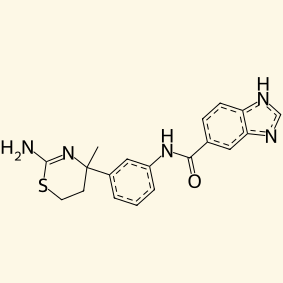 CC1(c2cccc(NC(=O)c3ccc4[nH]cnc4c3)c2)CCSC(N)=N1